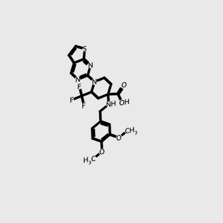 COc1ccc(CNC2(C(=O)O)CCN(c3ncc4ccsc4n3)C(C(F)(F)F)C2)cc1OC